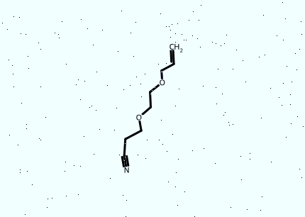 C=CCOCCOCCC#N